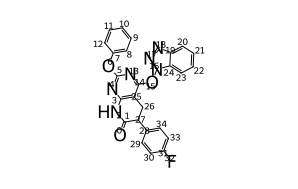 O=C1Nc2nc(Oc3ccccc3)nc(On3nnc4ccccc43)c2CC1c1ccc(F)cc1